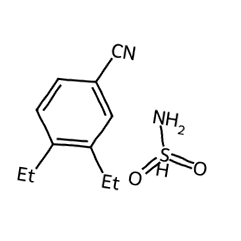 CCc1ccc(C#N)cc1CC.N[SH](=O)=O